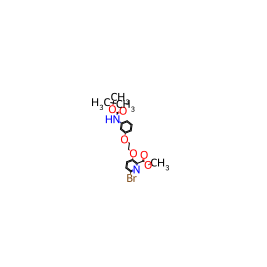 COC(=O)c1nc(Br)ccc1OCCOc1cccc(NC(=O)OC(C)(C)C)c1